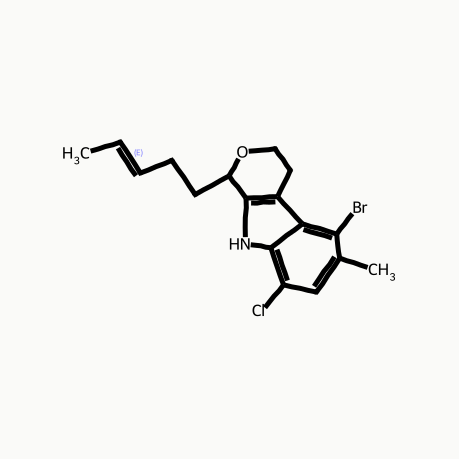 C/C=C/CCC1OCCc2c1[nH]c1c(Cl)cc(C)c(Br)c21